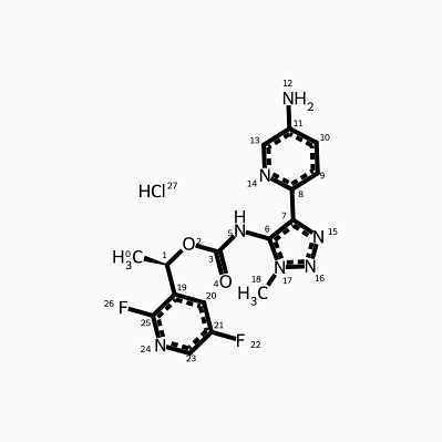 C[C@@H](OC(=O)Nc1c(-c2ccc(N)cn2)nnn1C)c1cc(F)cnc1F.Cl